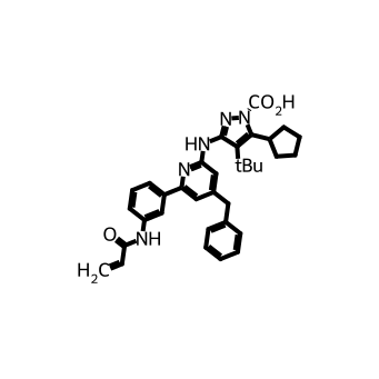 C=CC(=O)Nc1cccc(-c2cc(Cc3ccccc3)cc(Nc3nn(C(=O)O)c(C4CCCC4)c3C(C)(C)C)n2)c1